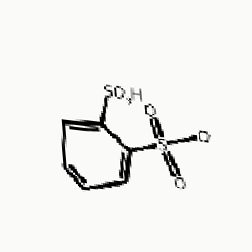 [O]S(=O)(=O)c1ccccc1S(=O)(=O)O